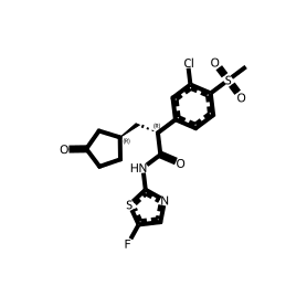 CS(=O)(=O)c1ccc([C@@H](C[C@H]2CCC(=O)C2)C(=O)Nc2ncc(F)s2)cc1Cl